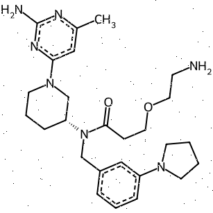 Cc1cc(N2CCC[C@@H](N(Cc3cccc(N4CCCC4)c3)C(=O)CCOCCN)C2)nc(N)n1